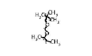 CCC(C)OCOCC(C)(C)C